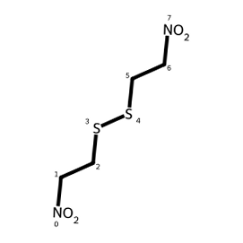 O=[N+]([O-])CCSSCC[N+](=O)[O-]